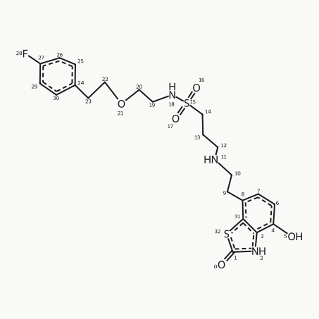 O=c1[nH]c2c(O)ccc(CCNCCCS(=O)(=O)NCCOCCc3ccc(F)cc3)c2s1